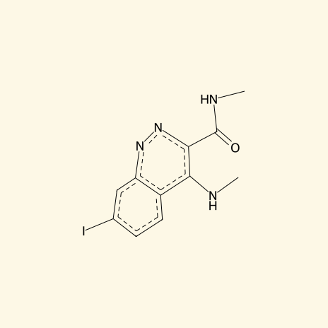 CNC(=O)c1nnc2cc(I)ccc2c1NC